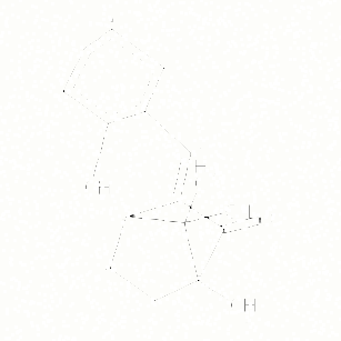 Cc1ccccc1C=C1C(=O)C2(C)CCC1C2(C)C